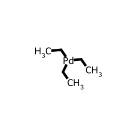 C[CH2][Pd]([CH2]C)[CH2]C